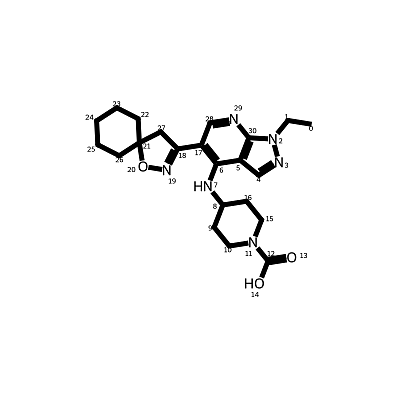 CCn1ncc2c(NC3CCN(C(=O)O)CC3)c(C3=NOC4(CCCCC4)C3)cnc21